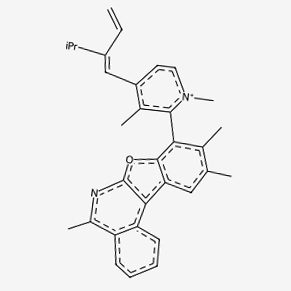 C=C/C(=C\c1cc[n+](C)c(-c2c(C)c(C)cc3c2oc2nc(C)c4ccccc4c23)c1C)C(C)C